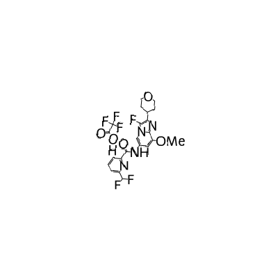 COc1cc(NC(=O)c2cccc(C(F)F)n2)cn2c(F)c(C3CCOCC3)nc12.O=C(O)C(F)(F)F